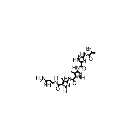 C=C(Br)C(=O)Nc1n[nH]c(C(=O)Nc2n[nH]c(C(=O)Nc3n[nH]c(C(=O)NCCC(=N)N)c3C)c2C)n1